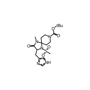 CN1C(=O)C(Cc2c[nH]cn2)N(S(C)(=O)=O)C12CCN(C(=O)OC(C)(C)C)CC2